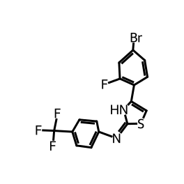 Fc1cc(Br)ccc1-c1csc(=Nc2ccc(C(F)(F)F)cc2)[nH]1